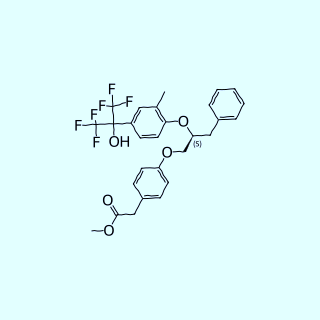 COC(=O)Cc1ccc(OC[C@H](Cc2ccccc2)Oc2ccc(C(O)(C(F)(F)F)C(F)(F)F)cc2C)cc1